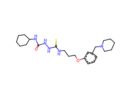 O=C(NNC(=S)NCCCOc1cccc(CN2CCCCC2)c1)NC1CCCCC1